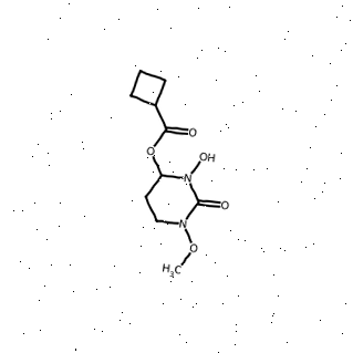 CON1CCC(OC(=O)C2CCC2)N(O)C1=O